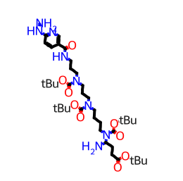 CC(C)(C)OC(=O)CCC(N)N(CCCCN(CCCN(CCCNC(=O)c1ccc(NN)nc1)C(=O)OC(C)(C)C)C(=O)OC(C)(C)C)C(=O)OC(C)(C)C